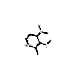 CNC1C(C)NCCC1N(C)C